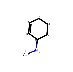 CC(=O)[N][C]1C=CCCC1